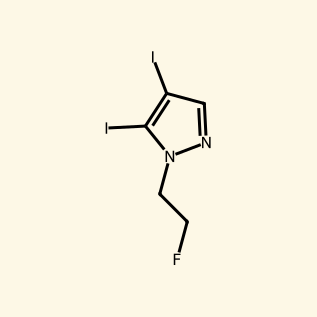 FCCn1ncc(I)c1I